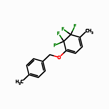 CC1=CC=C(OCc2ccc(C)cc2)C(F)(F)C1(F)F